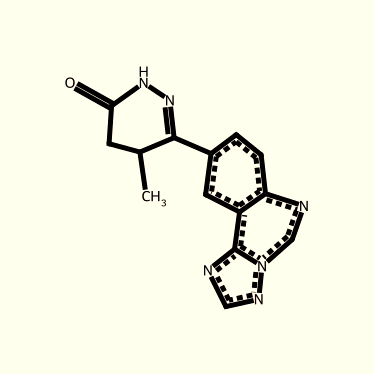 CC1CC(=O)NN=C1c1ccc2ncn3ncnc3c2c1